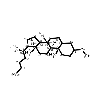 CCOC1CC[C@@]2(C)C(CC[C@H]3[C@@H]4CC[C@H]([C@H](C)CCCC(C)C)[C@@]4(C)CC[C@@H]32)C1